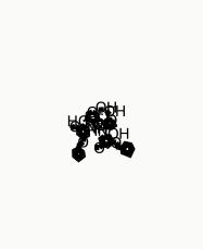 COc1cc(N[C@H]2[C@@H](O)CO[C@H](CO)[C@]2(O)S[C@@]2(O)[C@@H](CO)OC[C@H](O)[C@@H]2Nc2cc(OC)cc(OCc3ccccc3)c2)cc(OCc2ccccc2)c1